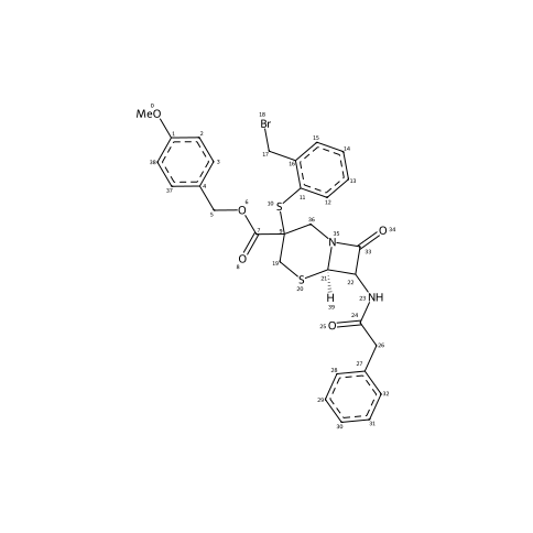 COc1ccc(COC(=O)C2(Sc3ccccc3CBr)CS[C@@H]3C(NC(=O)Cc4ccccc4)C(=O)N3C2)cc1